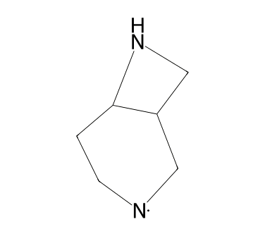 C1CC2NCC2C[N]1